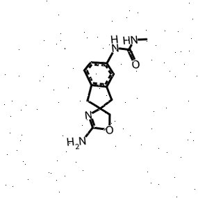 CNC(=O)Nc1ccc2c(c1)CC1(COC(N)=N1)C2